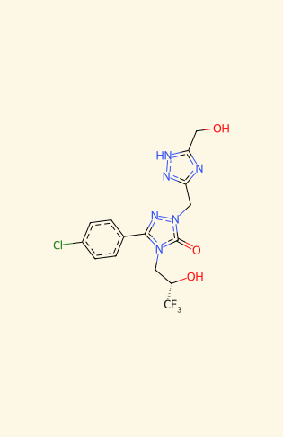 O=c1n(Cc2n[nH]c(CO)n2)nc(-c2ccc(Cl)cc2)n1C[C@H](O)C(F)(F)F